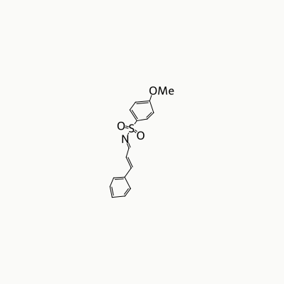 COc1ccc(S(=O)(=O)N=CC=Cc2ccccc2)cc1